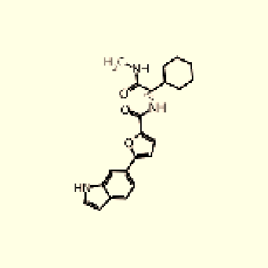 CNC(=O)[C@@H](NC(=O)c1ccc(-c2ccc3cc[nH]c3c2)o1)C1CCCCC1